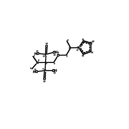 CC(COCC(N(C)C)(P(=O)(O)O)P(=O)(O)O)n1ccnc1